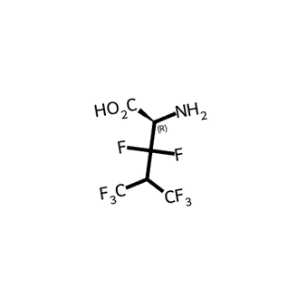 N[C@H](C(=O)O)C(F)(F)C(C(F)(F)F)C(F)(F)F